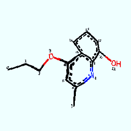 CCCOc1cc(C)nc2c(O)cccc12